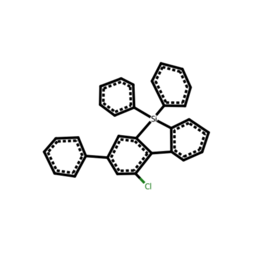 Clc1cc(-c2ccccc2)cc2c1-c1ccccc1[Si]2(c1ccccc1)c1ccccc1